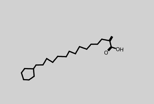 C=C(CCCCCCCCCCCCCC1CCCCC1)C(=O)O